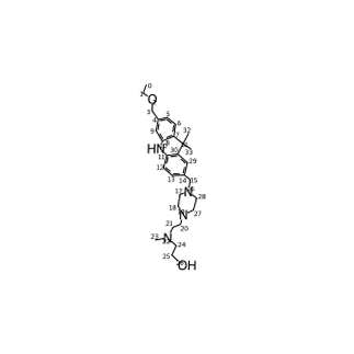 CCOCc1ccc2c(c1)Nc1ccc(CN3CCN(CCN(C)CCO)CC3)cc1C2(C)C